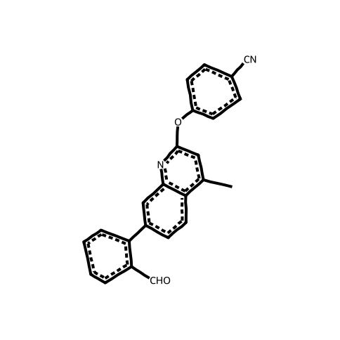 Cc1cc(Oc2ccc(C#N)cc2)nc2cc(-c3ccccc3C=O)ccc12